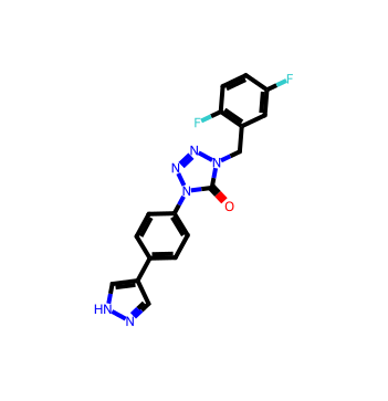 O=c1n(Cc2cc(F)ccc2F)nnn1-c1ccc(-c2cn[nH]c2)cc1